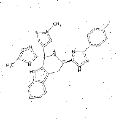 Cc1nc(C2(c3cnn(C)c3)N[C@@H](c3nc(-c4ccc(F)cc4)n[nH]3)Cc3c2[nH]c2ccccc32)no1